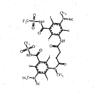 CC(=O)N(C)c1c(I)c(NC(=O)CCC(=O)N(C)c2c(I)c(C(=O)NS(=O)(=O)C(F)(F)F)c(I)c(N(C)C(C)=O)c2I)c(I)c(C(=O)NS(=O)(=O)C(F)(F)F)c1I